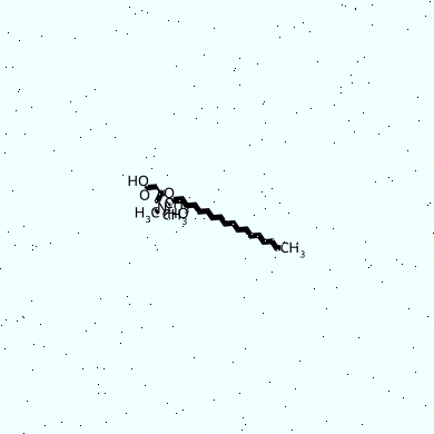 CCCCCCCCCCCCCCCC(O)C=CO[C@H](CC(=O)O)C[N+](C)(C)C